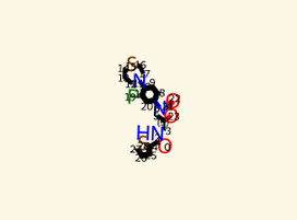 O=C(NC[C@H]1CN(c2ccc(N3CCCSCC3)c(F)c2)C(=O)O1)c1cccs1